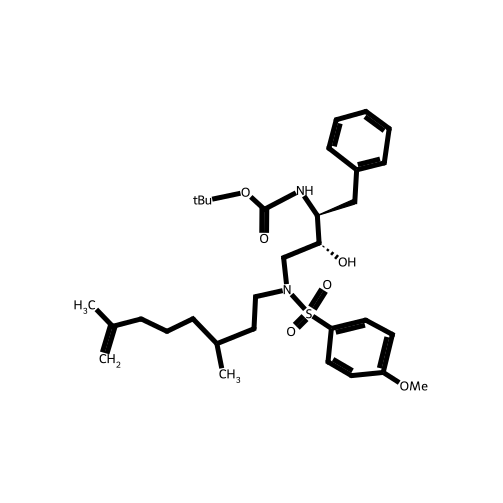 C=C(C)CCCC(C)CCN(C[C@@H](O)[C@H](Cc1ccccc1)NC(=O)OC(C)(C)C)S(=O)(=O)c1ccc(OC)cc1